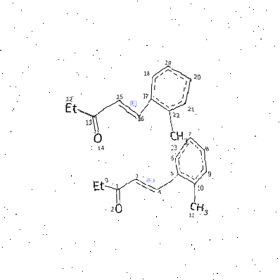 CCC(=O)/C=C/c1ccccc1C.CCC(=O)/C=C/c1ccccc1C